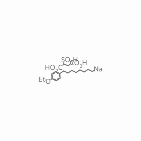 CCOc1ccc(CCCCCCC[CH2][Na])cc1.O=C(O)CC(C(=O)O)S(=O)(=O)O